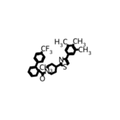 Cc1cc(-c2csc(C3CCN(C(=O)C4(C)CC=CC=C4c4ccc(C(F)(F)F)cc4)CC3)n2)cc(C)c1C